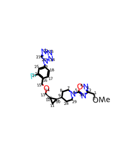 COCc1noc(N2CCC([C@H]3C[C@H]3COCc3ccc(-n4cnnn4)cc3F)CC2)n1